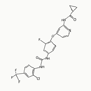 O=C(Nc1ccc(Oc2ccnc(NC(=O)C3CC3)c2)c(F)c1)Nc1ccc(C(F)(F)F)cc1Cl